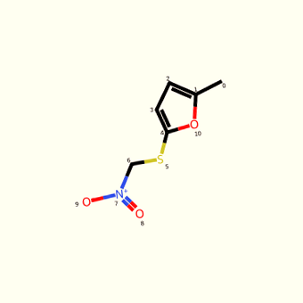 Cc1ccc(SC[N+](=O)[O-])o1